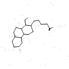 COC(=O)CC[C@@H](C)[C@H]1CCC2C3C(CC[C@@]21C)[C@@]1(C)C[C@@H](F)[C@H](O)C[C@H]1C[C@H]3O